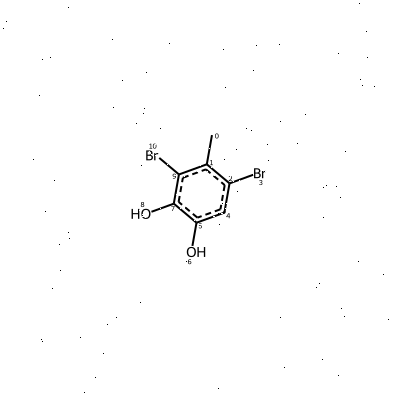 Cc1c(Br)cc(O)c(O)c1Br